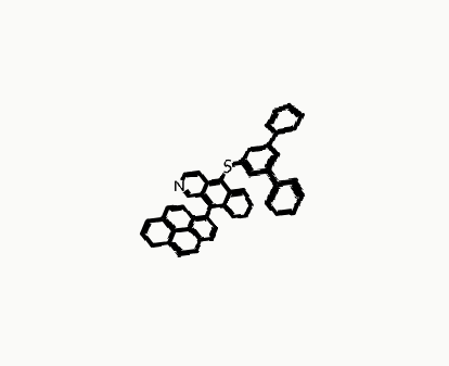 C1=Cc2ccc3c(-c4c5c(c(Sc6cc(-c7ccccc7)cc(-c7ccccc7)c6)c6ccncc46)=CCCC=5)ccc4c3c2C(=CC4)C1